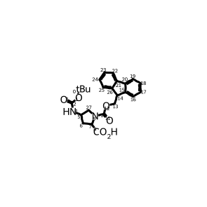 CC(C)(C)OC(=O)NC1CC(C(=O)O)N(C(=O)OCC2c3ccccc3-c3ccccc32)C1